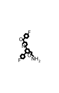 NCc1cc2cc(-c3ccc(C(=O)c4ccc(F)cc4)cn3)cc(-c3ccc(F)cc3)c2o1